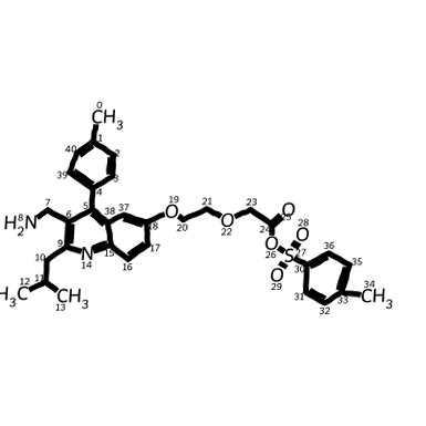 Cc1ccc(-c2c(CN)c(CC(C)C)nc3ccc(OCCOCC(=O)OS(=O)(=O)c4ccc(C)cc4)cc23)cc1